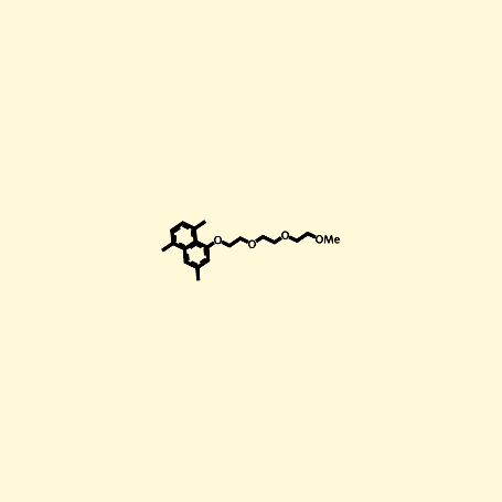 COCCOCCOCCOc1cc(C)cc2c(C)ccc(C)c12